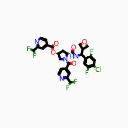 O=C(O[C@@H]1C[C@H](C(=O)NC(c2cc(F)c(Cl)cc2F)C2COC2)N(C(=O)c2ccnc(C(F)F)c2)C1)c1ccnc(C(F)F)c1